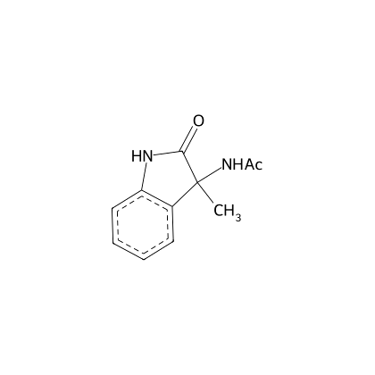 CC(=O)NC1(C)C(=O)Nc2ccccc21